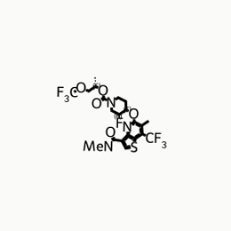 CNC(=O)c1csc2c(C(F)(F)F)c(C)c(O[C@H]3CCN(C(=O)O[C@@H](C)COC(F)(F)F)C[C@H]3F)nc12